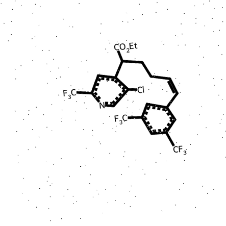 CCOC(=O)C(CC/C=C\c1cc(C(F)(F)F)cc(C(F)(F)F)c1)c1cc(C(F)(F)F)ncc1Cl